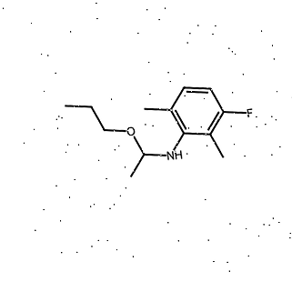 CCCOC(C)Nc1c(C)ccc(F)c1C